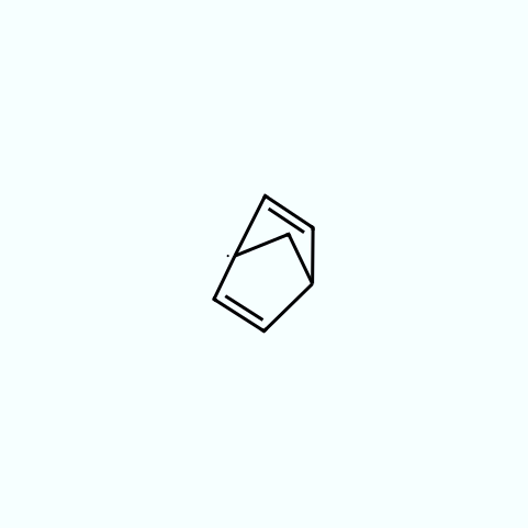 C1=CC2C=C[C]1C2